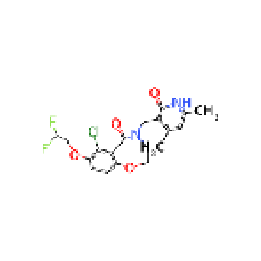 Cc1cc(C)c(CN2CCOc3ccc(OCC(F)F)c(Cl)c3C2=O)c(=O)[nH]1